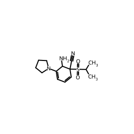 CC(C)S(=O)(=O)C1(C#N)C=CC=C(N2CCCC2)C1N